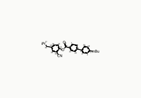 CCCCc1ccc(-c2ccc(C(=O)Oc3ccc(CC(C)C)cc3C#N)cc2)cc1